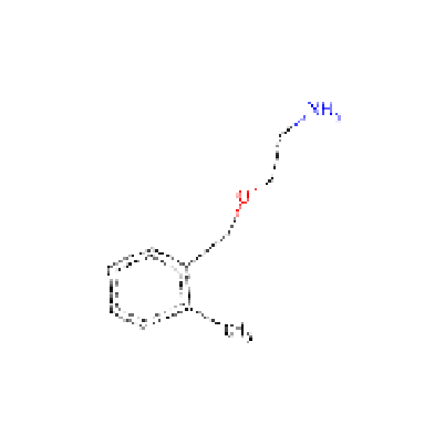 Cc1ccccc1COCCN